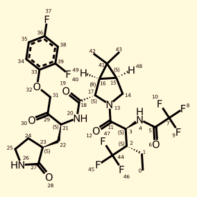 CC[C@@H]([C@H](NC(=O)C(F)(F)F)C(=O)N1C[C@H]2[C@@H]([C@H]1C(=O)N[C@@H](C[C@@H]1CCNC1=O)C(=O)COc1ccc(F)cc1F)C2(C)C)C(F)(F)F